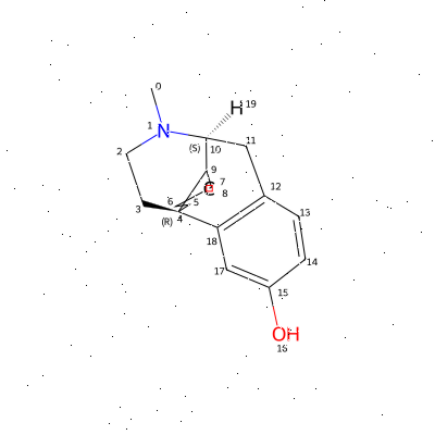 CN1CC[C@]23CCCCC2[C@@H]1Cc1ccc(O)cc13